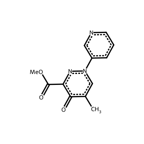 COC(=O)c1nn(-c2cccnc2)cc(C)c1=O